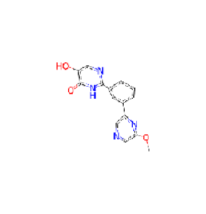 COc1cncc(-c2cccc(-c3ncc(O)c(=O)[nH]3)c2)n1